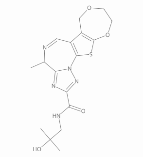 CC1N=Cc2c(sc3c2COCCO3)-n2nc(C(=O)NCC(C)(C)O)nc21